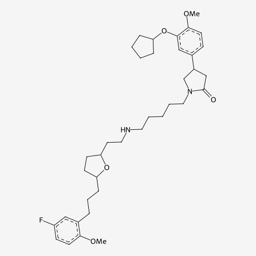 COc1ccc(F)cc1CCCC1CCC(CCNCCCCCN2CC(c3ccc(OC)c(OC4CCCC4)c3)CC2=O)O1